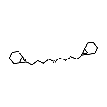 C(CCC1=C2CCCCC12)COCCCCC1=C2CCCCC12